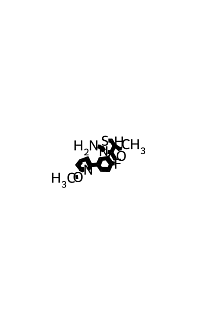 COc1cccc(-c2ccc(F)c([C@]34CO[C@H](C)[C@H]3CSC(N)=N4)c2)n1